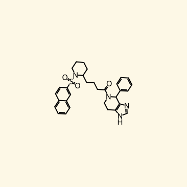 O=C(CCCC1CCCCN1S(=O)(=O)c1ccc2ccccc2c1)N1CCc2[nH]cnc2C1c1ccccc1